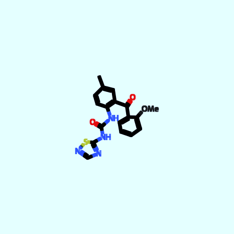 COc1ccccc1C(=O)c1cc(C)ccc1NC(=O)Nc1ncns1